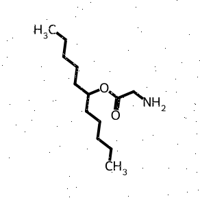 CCCCCC(CCCCC)OC(=O)CN